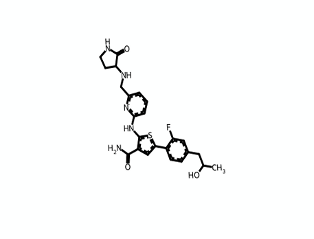 CC(O)Cc1ccc(-c2cc(C(N)=O)c(Nc3cccc(CNC4CCNC4=O)n3)s2)c(F)c1